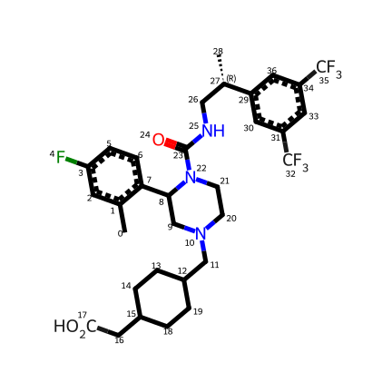 Cc1cc(F)ccc1C1CN(CC2CCC(CC(=O)O)CC2)CCN1C(=O)NC[C@H](C)c1cc(C(F)(F)F)cc(C(F)(F)F)c1